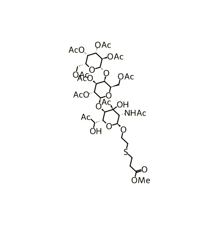 COC(=O)CCSCCO[C@H]1O[C@H](C(O)C(C)=O)[C@@H](O[C@@H]2O[C@H](COC(C)=O)[C@H](O[C@@H]3O[C@H](COC(C)=O)[C@H](OC(C)=O)[C@H](OC(C)=O)[C@H]3OC(C)=O)[C@H](OC(C)=O)[C@H]2OC(C)=O)[C@@](O)(C(C)=O)[C@@H]1NC(C)=O